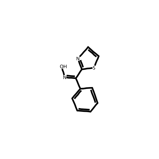 ON=C(c1ccccc1)c1nccs1